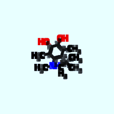 CNc1c(C)c(O)c(O)c(C)c1C(C)(C)C